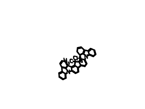 CC1(C)c2c(ccc3c2C2CC=Cc4c2n-3c2ccccc42)-c2ccc3c(c21)c1cccc2c4ccccc4n3c21